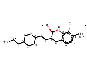 CCCC1CCC(CCC2Cc3ccc(C)c(F)c3OC2=O)CC1